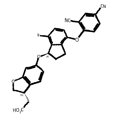 N#Cc1ccc(Oc2ccc(F)c3c2CC[C@H]3Oc2ccc3c(c2)OC[C@H]3CC(=O)O)c(C#N)c1